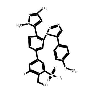 Cn1nc(C(F)(F)F)cc1-c1ccc(-c2cc(F)c(CO)c(S(C)(=O)=O)c2)cc1-n1nncc1-c1ccc(OC(F)(F)F)cc1